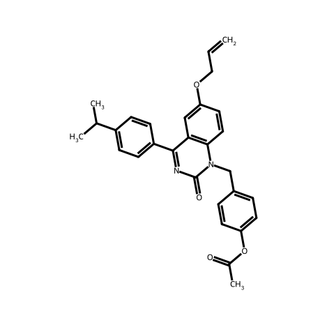 C=CCOc1ccc2c(c1)c(-c1ccc(C(C)C)cc1)nc(=O)n2Cc1ccc(OC(C)=O)cc1